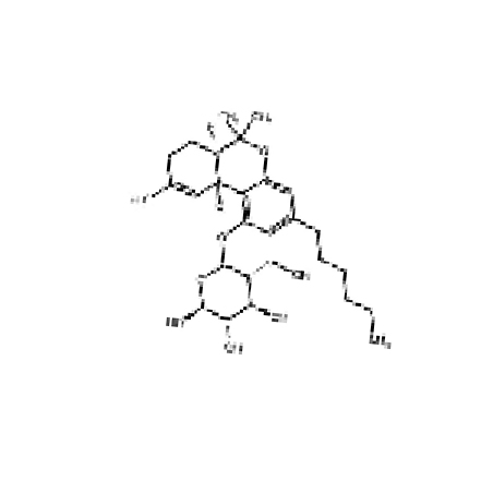 CCCCCCc1cc(OC2O[C@H](O)[C@@H](O)[C@H](O)[C@H]2CO)c2c(c1)OC(C)(C)[C@@H]1CCC(C)=C[C@@H]21